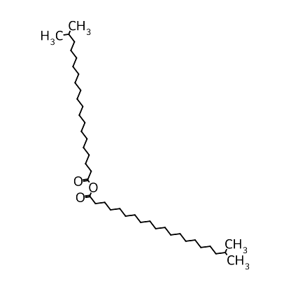 CC(C)CCCCCCCCCCCCCCCCCC(=O)OC(=O)CCCCCCCCCCCCCCCCCC(C)C